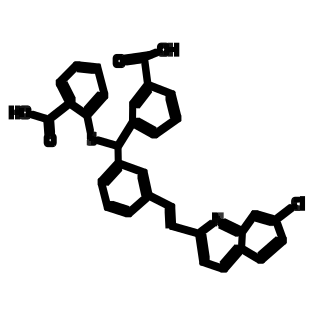 O=C(O)c1cccc(C(Sc2ccccc2C(=O)O)c2cccc(C=Cc3ccc4ccc(Cl)cc4n3)c2)c1